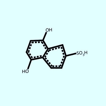 O=S(=O)(O)c1ccc2c(O)ccc(O)c2c1